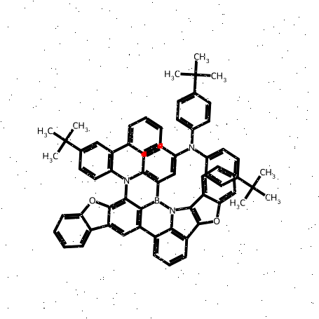 CC(C)(C)c1ccc(N(c2ccc(C(C)(C)C)cc2)c2ccc3c(c2)B2c4c(cc5c(oc6ccccc65)c4N3c3ccc(C(C)(C)C)cc3-c3ccccc3)-c3cccc4c5oc6ccccc6c5n2c34)cc1